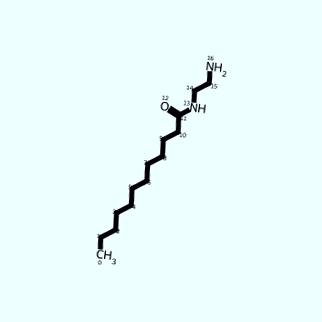 CCCCCCCCCCCC(=O)NCCN